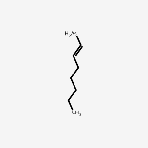 CCCCCC=C[AsH2]